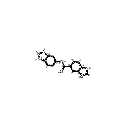 O=C(Nc1ccc2[nH]nnc2c1)c1ccc2ncsc2c1